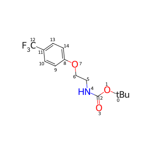 CC(C)(C)OC(=O)NCCOc1ccc(C(F)(F)F)cc1